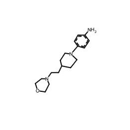 Nc1ccc(N2CCC(CCN3CCOCC3)CC2)cc1